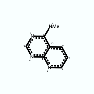 CNc1ncnc2ncccc12